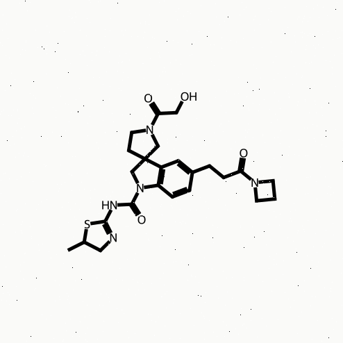 CC1CN=C(NC(=O)N2CC3(CCN(C(=O)CO)C3)c3cc(CCC(=O)N4CCC4)ccc32)S1